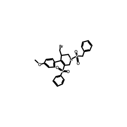 COc1ccc(C2=C(S(=O)(=O)c3ccccc3)CN(S(=O)(=O)Cc3ccccc3)CC2CBr)cc1